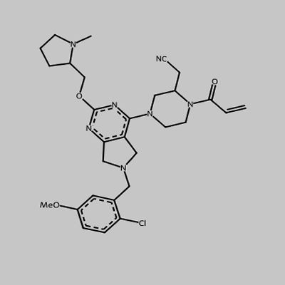 C=CC(=O)N1CCN(c2nc(OCC3CCCN3C)nc3c2CN(Cc2cc(OC)ccc2Cl)C3)CC1CC#N